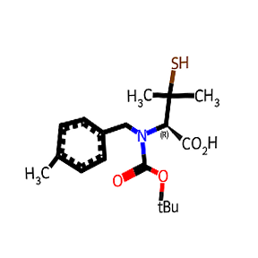 Cc1ccc(CN(C(=O)OC(C)(C)C)[C@H](C(=O)O)C(C)(C)S)cc1